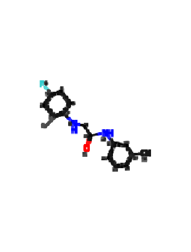 Cc1cc(F)ccc1NCC(=O)Nc1cccc(C#N)c1